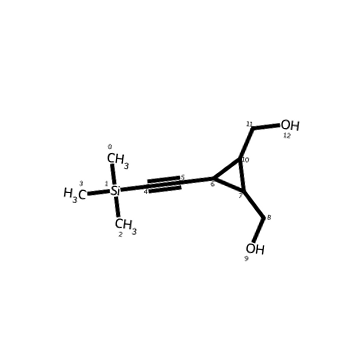 C[Si](C)(C)C#CC1C(CO)C1CO